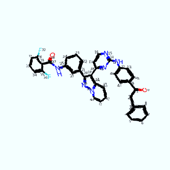 O=C(Cc1ccccc1)c1ccc(Nc2nccc(-c3c(-c4cccc(NC(=O)c5c(F)cccc5F)c4)nn4ccccc34)n2)cc1